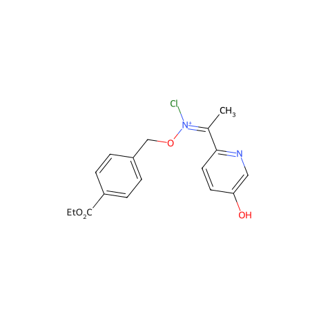 CCOC(=O)c1ccc(CO[N+](Cl)=C(C)c2ccc(O)cn2)cc1